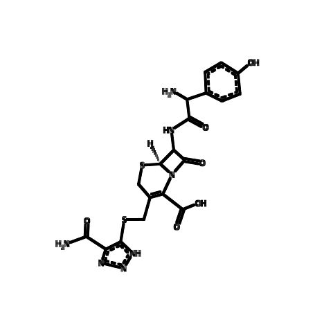 NC(=O)c1nn[nH]c1SCC1=C(C(=O)O)N2C(=O)C(NC(=O)C(N)c3ccc(O)cc3)[C@@H]2SC1